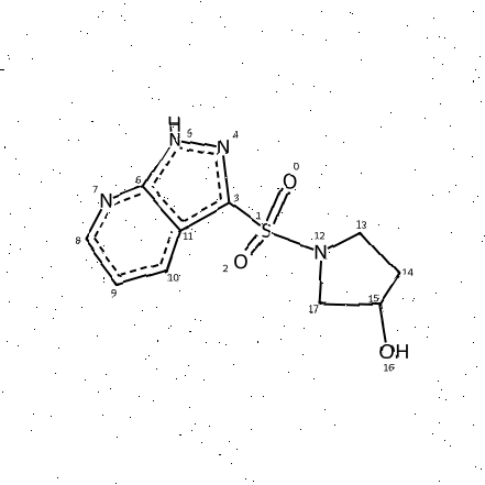 O=S(=O)(c1n[nH]c2ncccc12)N1CCC(O)C1